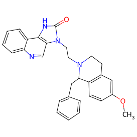 COc1ccc2c(c1)CCN(CCn1c(=O)[nH]c3c4ccccc4ncc31)C2Cc1ccccc1